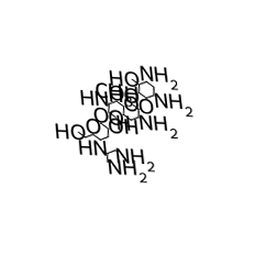 CNC1C(O[C@H]2OC(CO)[C@@H](NC(CN)CN)CC2O)O[C@H]2CC(N)[C@@H](O[C@@H]3C(N)C[C@@H](N)C(O)C3O)OC2C1O